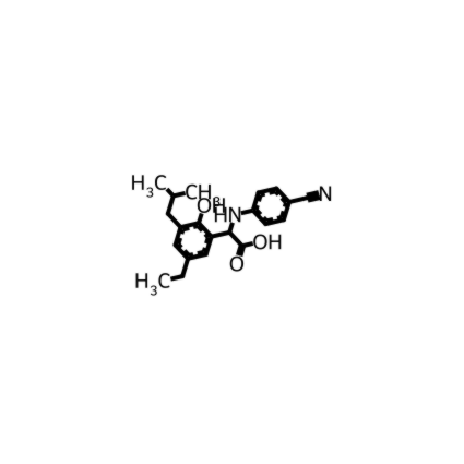 CCc1cc(CC(C)C)c(O)c(C(Nc2ccc(C#N)cc2)C(=O)O)c1